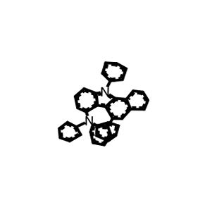 c1ccc(-c2cc3ccccc3c3c2c2c(N(c4ccccc4)c4ccccc4)cccc2n3-c2ccccc2)cc1